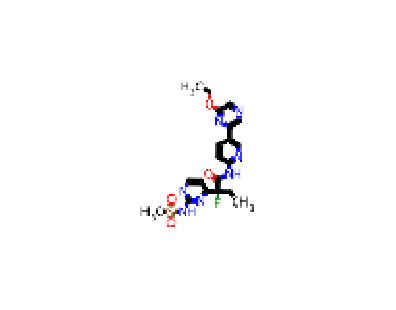 CCOc1cncc(-c2ccc(NC(=O)[C@](F)(CC)c3ccnc(NS(C)(=O)=O)n3)nc2)n1